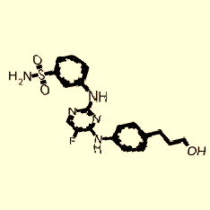 NS(=O)(=O)c1cccc(Nc2ncc(F)c(Nc3ccc(CCCO)cc3)n2)c1